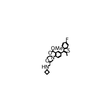 COC(=O)c1cc(-c2c(C)sc3cc(F)ccc23)ccc1N1CCO[C@H](CNC2CCC2)C1